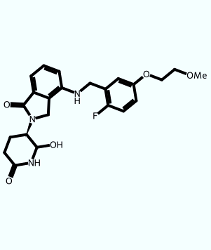 COCCOc1ccc(F)c(CNc2cccc3c2CN([C@@H]2CCC(=O)NC2O)C3=O)c1